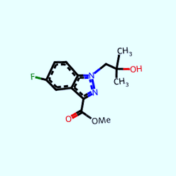 COC(=O)c1nn(CC(C)(C)O)c2ccc(F)cc12